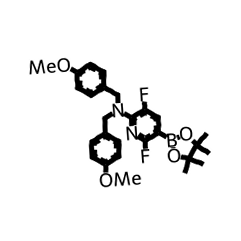 COc1ccc(CN(Cc2ccc(OC)cc2)c2nc(F)c(B3OC(C)(C)C(C)(C)O3)cc2F)cc1